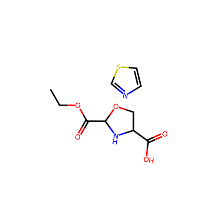 CCOC(=O)C1NC(C(=O)O)CO1.c1cscn1